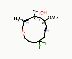 CO[C@H]1/C=C/CC(F)(F)CCCOC/C(C)=C\[C@@H](C)[C@@H]1O